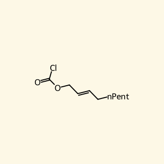 CCCCCCC=CCOC(=O)Cl